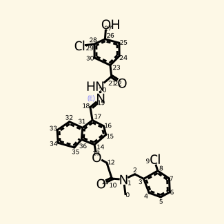 CN(Cc1ccccc1Cl)C(=O)COc1ccc(/C=N/NC(=O)c2ccc(O)c(Cl)c2)c2ccccc12